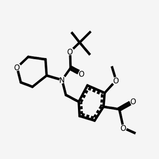 COC(=O)c1ccc(CN(C(=O)OC(C)(C)C)C2CCOCC2)cc1OC